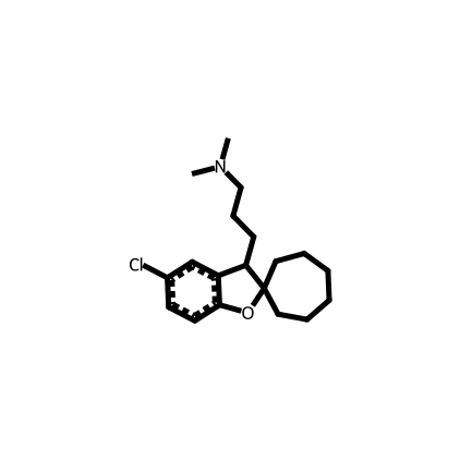 CN(C)CCCC1c2cc(Cl)ccc2OC12CCCCCC2